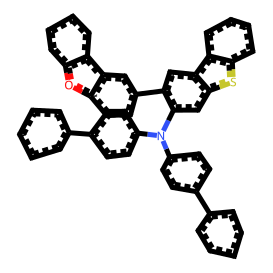 c1ccc(-c2ccc(N(c3ccc(-c4ccccc4)cc3)c3cc4sc5ccccc5c4cc3-c3ccc4oc5ccccc5c4c3)cc2)cc1